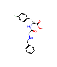 COC(=O)[C@@H](Cc1ccc(F)cc1)NC(=O)CNCc1ccccc1